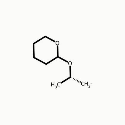 [CH2][C@H](C)OC1CCCCO1